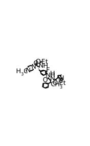 CCC(=O)N[C@H](Cc1ccc(NC(=O)[C@@H](NC(=O)c2ccnn2CC)[C@@H](C)c2ccccc2)c(F)c1)C(=O)N1CCN(C)CC1